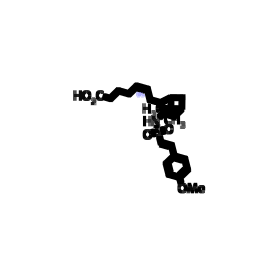 COc1ccc(C=CS(=O)(=O)NC2CC3CC(C2C/C=C\CCCC(=O)O)C3(C)C)cc1